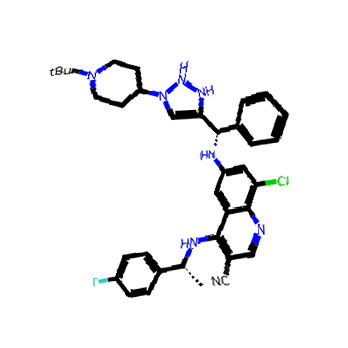 C[C@@H](Nc1c(C#N)cnc2c(Cl)cc(N[C@H](C3=CN(C4CCN(C(C)(C)C)CC4)NN3)c3ccccc3)cc12)c1ccc(F)cc1